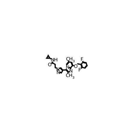 Cc1cc(OCc2c(F)cccc2F)c2nc(C)c(-c3cnn(CCC(=O)NC4CC4)c3)n2c1